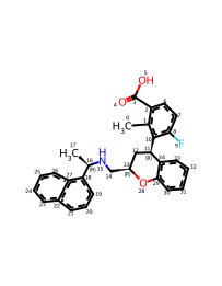 Cc1c(C(=O)O)ccc(F)c1[C@@H]1C[C@H](CN[C@H](C)c2cccc3ccccc23)Oc2ccccc21